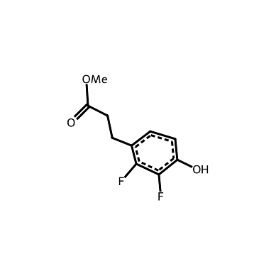 COC(=O)CCc1ccc(O)c(F)c1F